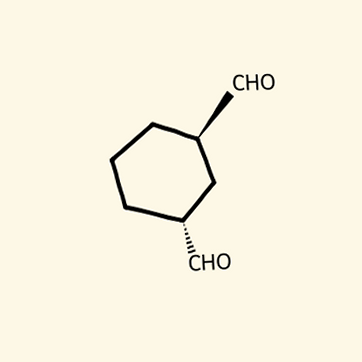 O=C[C@@H]1CCC[C@@H](C=O)C1